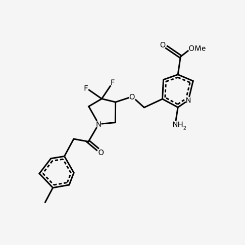 COC(=O)c1cnc(N)c(COC2CN(C(=O)Cc3ccc(C)cc3)CC2(F)F)c1